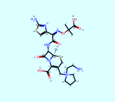 CC(C)(O/N=C(\C(=O)N[C@@H]1C(=O)N2C(C(=O)O)=C(C[N+]3(CCN)CCCC3)CS[C@H]12)c1csc(N)n1)C(=O)O